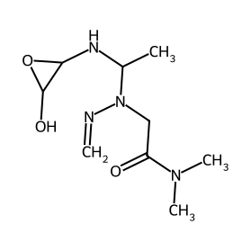 C=NN(CC(=O)N(C)C)C(C)NC1OC1O